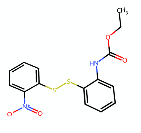 CCOC(=O)Nc1ccccc1SSc1ccccc1[N+](=O)[O-]